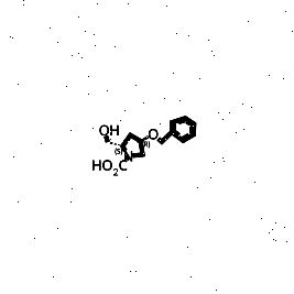 O=C(O)N1C[C@H](OCc2ccccc2)C[C@H]1CO